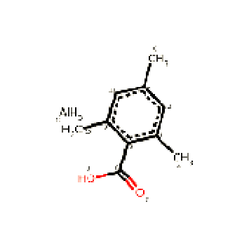 Cc1cc(C)c(C(=O)O)c(C)c1.[AlH3]